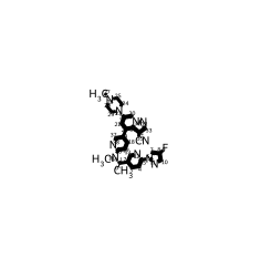 C[C@@H](c1ccc(-n2cc(F)cn2)nc1)N(C)c1ccc(-c2cc(N3CCN(C)CC3)cn3ncc(C#N)c23)cn1